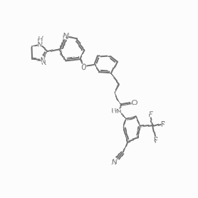 N#Cc1cc(NC(=O)CCc2cccc(Oc3ccnc(C4=NCCN4)c3)c2)cc(C(F)(F)F)c1